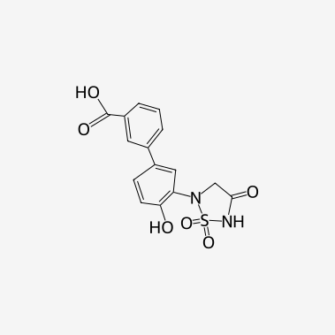 O=C1CN(c2cc(-c3cccc(C(=O)O)c3)ccc2O)S(=O)(=O)N1